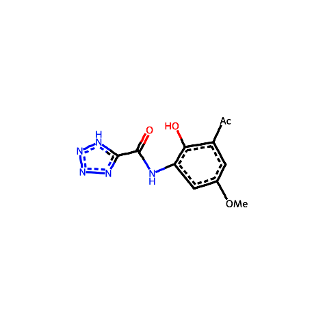 COc1cc(NC(=O)c2nnn[nH]2)c(O)c(C(C)=O)c1